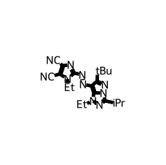 CCn1c(N=Nc2c(C(C)(C)C)nn3c(C(C)C)nn(CC)c23)nc(C#N)c1C#N